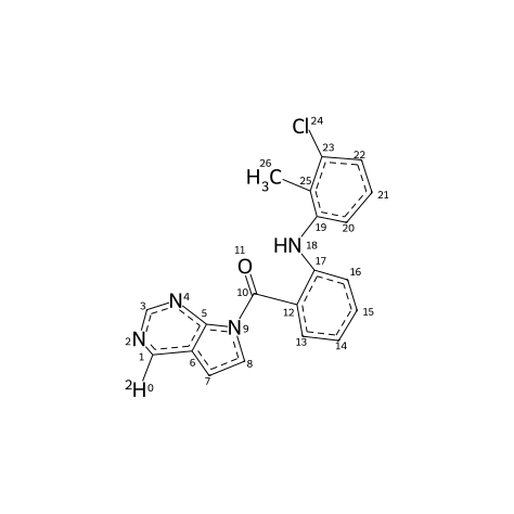 [2H]c1ncnc2c1ccn2C(=O)c1ccccc1Nc1cccc(Cl)c1C